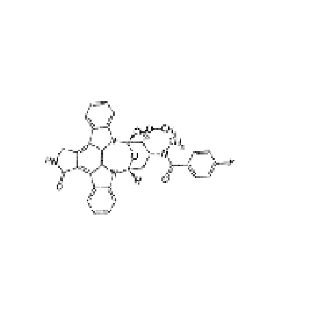 CO[C@@H]1[C@H](N(C)C(=O)c2ccc(F)cc2)C[C@H]2O[C@]1(C)n1c3ccccc3c3c4c(c5c6ccccc6n2c5c31)C(=O)NC4